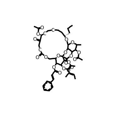 C/C=C(\C)C(=O)OC1C(OC(=O)/C=C/c2ccccc2)C2COC(=O)CCC(=O)[C@@H](OC(C)=O)CCCCC[C@H](CCC)OC3OC(C)C(OC(C)=O)C(OC(C)=O)C3OC(O2)C1OC(C)=O